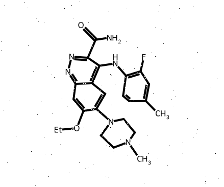 CCOc1cc2nnc(C(N)=O)c(Nc3ccc(C)cc3F)c2cc1N1CCN(C)CC1